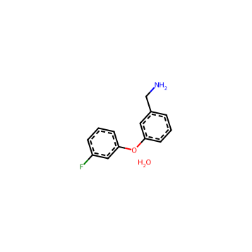 NCc1cccc(Oc2cccc(F)c2)c1.O